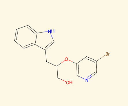 OCC(Cc1c[nH]c2ccccc12)Oc1cncc(Br)c1